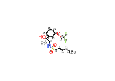 CC[C@@](O)(CNS(=O)(=O)C/C=C/CC(C)(C)C)c1cccc(OCC(F)F)c1